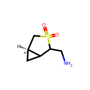 NCC1C2C[C@H]2CS1(=O)=O